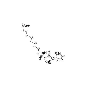 CCCCCCCCCCCCCCCCCCCNC(=O)C1CSC(c2cccnc2)N1